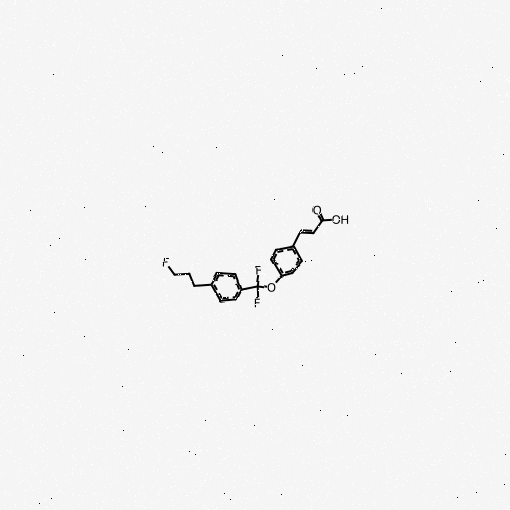 O=C(O)/C=C/c1ccc(OC(F)(F)c2ccc(CCCF)cc2)cc1